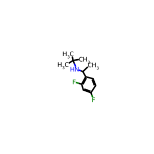 CC(NC(C)(C)C)c1ccc(F)cc1F